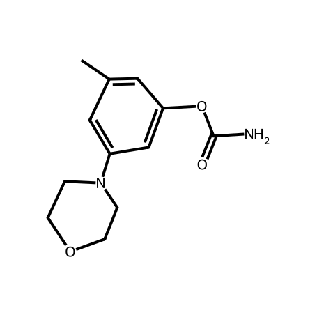 Cc1cc(OC(N)=O)cc(N2CCOCC2)c1